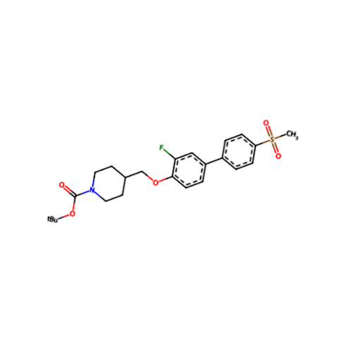 CC(C)(C)OC(=O)N1CCC(COc2ccc(-c3ccc(S(C)(=O)=O)cc3)cc2F)CC1